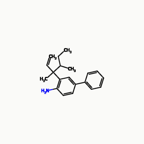 C=CC(C)(c1cc(-c2ccccc2)ccc1N)C(C)CC